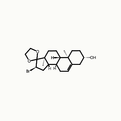 C[C@]12CC[C@H](O)CC1=CC[C@@H]1[C@@H]2CC[C@@]2(C)[C@H]1C[C@@H](Br)C21OCCO1